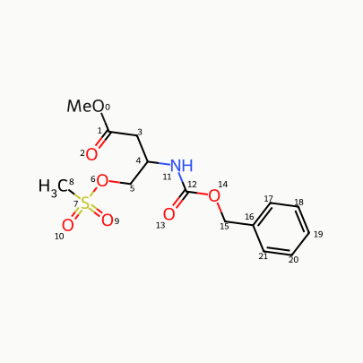 COC(=O)CC(COS(C)(=O)=O)NC(=O)OCc1ccccc1